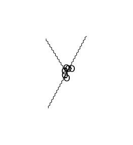 CCCCCCCCCCCCCCCCCCCCC(=O)OCC(COC(=O)CCCCCCCCCCCCCCCCCCCC)OC(=O)CCCCCCCCCCCCCCCCCCCC